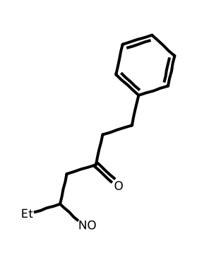 CCC(CC(=O)CCc1ccccc1)N=O